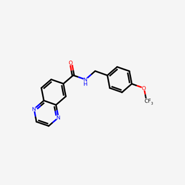 O=C(NCc1ccc(OC(F)(F)F)cc1)c1ccc2nccnc2c1